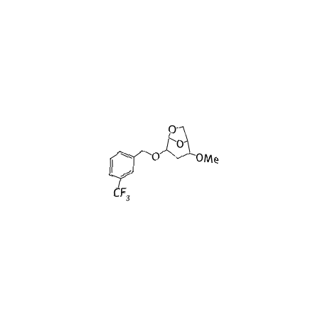 COC1CC(OCc2cccc(C(F)(F)F)c2)C2OCC1O2